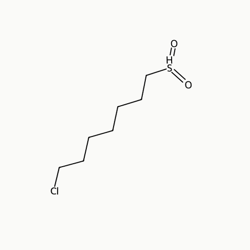 O=[SH](=O)CCCCCCCCl